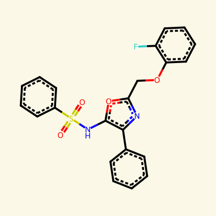 O=S(=O)(Nc1oc(COc2ccccc2F)nc1-c1ccccc1)c1ccccc1